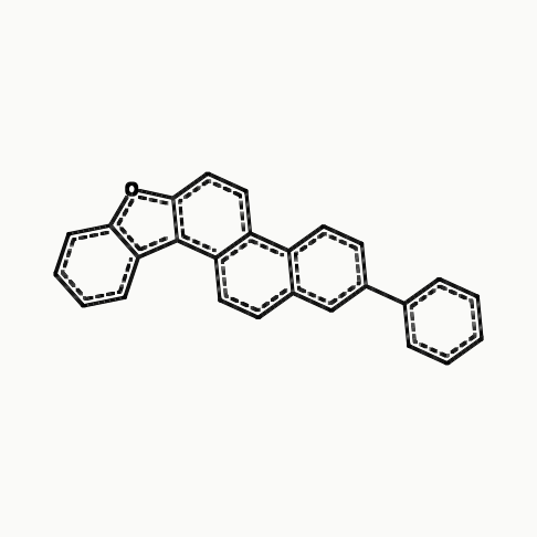 c1ccc(-c2ccc3c(ccc4c3ccc3oc5ccccc5c34)c2)cc1